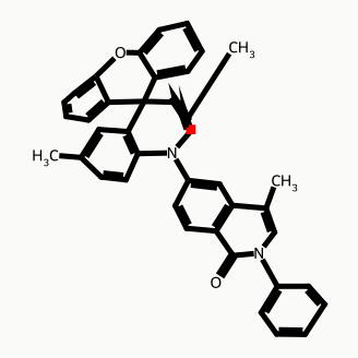 Cc1ccc2c(c1)C1(c3ccccc3Oc3ccccc31)c1cc(C)ccc1N2c1ccc2c(=O)n(-c3ccccc3)cc(C)c2c1